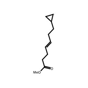 COC(=O)CCC=CCCC1[CH]C1